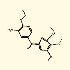 CCOc1ccc(C(C)c2cc(OC)c(OC)c(OC)c2)cc1N